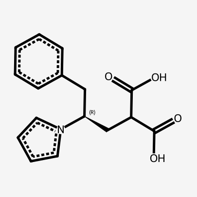 O=C(O)C(C[C@H](Cc1ccccc1)n1cccc1)C(=O)O